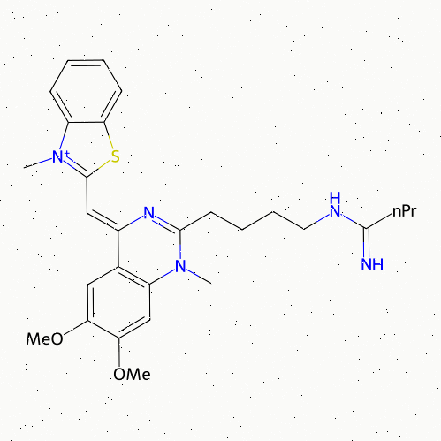 CCCC(=N)NCCCCC1=NC(=Cc2sc3ccccc3[n+]2C)c2cc(OC)c(OC)cc2N1C